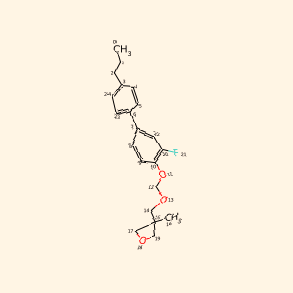 CCCc1ccc(-c2ccc(OCOCC3(C)COC3)c(F)c2)cc1